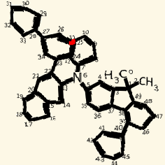 CC1(C)c2cc(N(c3ccccc3)c3cc4ccccc4cc3-c3cccc(-c4ccccc4)c3)ccc2-c2c(-c3ccccc3)cccc21